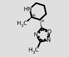 Cc1noc([C@H]2CCCN[C@@H]2C)n1